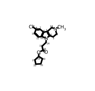 CN1CCc2c(c3cc(Cl)ccc3n2CCC(=O)OC2CCCC2)C1